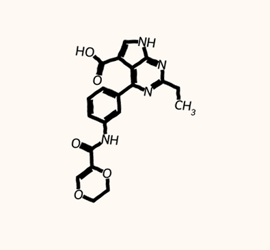 CCc1nc(-c2cccc(NC(=O)C3=COCCO3)c2)c2c(C(=O)O)c[nH]c2n1